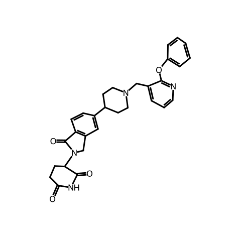 O=C1CCC(N2Cc3cc(C4CCN(Cc5cccnc5Oc5ccccc5)CC4)ccc3C2=O)C(=O)N1